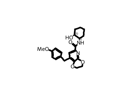 COc1ccc(Cc2cc(C(=O)N[C@H]3CCCC[C@@H]3O)nc3c2OCCO3)cc1